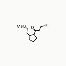 COCCC1CCCC1C(=O)CCC(C)C